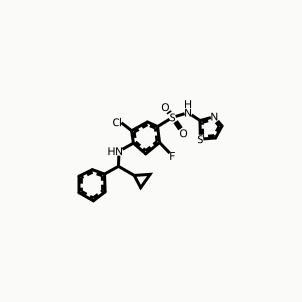 O=S(=O)(Nc1nccs1)c1cc(Cl)c(NC(c2ccccc2)C2CC2)cc1F